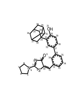 O=C1N=C(N2CCCC2)SC1=Cc1cccc(-c2ccc(O)c(C34CC5CC(CC(C5)C3)C4)c2)c1